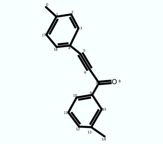 Cc1ccc(C#CC(=O)c2cccc(C)c2)cc1